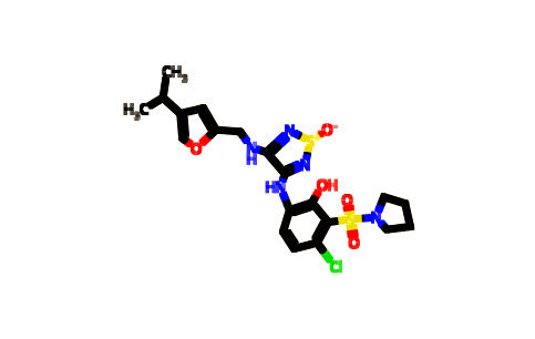 CC(C)c1coc(CNc2n[s+]([O-])nc2Nc2ccc(Cl)c(S(=O)(=O)N3CCCC3)c2O)c1